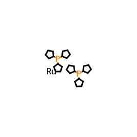 C1CCC(P(C2CCCC2)C2CCCC2)C1.C1CCC(P(C2CCCC2)C2CCCC2)C1.[Ru]